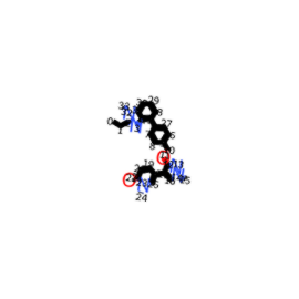 CCc1nc2c(-c3ccc(COc4nn(C)cc4-c4ccc(=O)n(C)c4)cc3)cccc2n1C